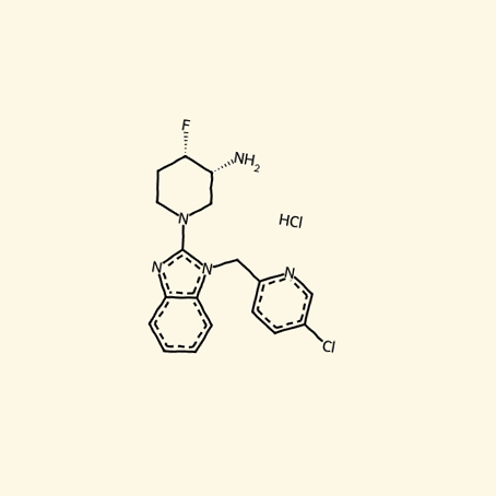 Cl.N[C@@H]1CN(c2nc3ccccc3n2Cc2ccc(Cl)cn2)CC[C@@H]1F